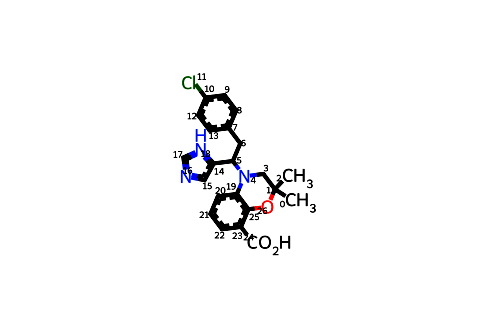 CC1(C)CN(C(Cc2ccc(Cl)cc2)c2cnc[nH]2)c2cccc(C(=O)O)c2O1